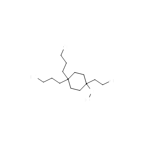 CCCCC1(CCCC)CCC(CCC)(OO)CC1